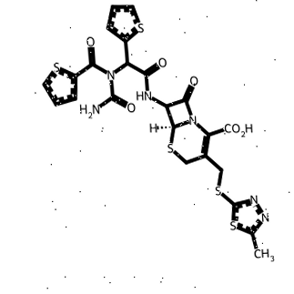 Cc1nnc(SCC2=C(C(=O)O)N3C(=O)C(NC(=O)C(c4cccs4)N(C(N)=O)C(=O)c4cccs4)[C@@H]3SC2)s1